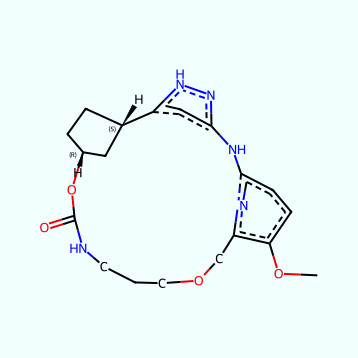 COc1ccc2nc1COCCCNC(=O)O[C@@H]1CC[C@@H](C1)c1cc(n[nH]1)N2